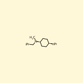 CCC[C@H]1CC[C@@H](N(C)CC(C)C)CC1